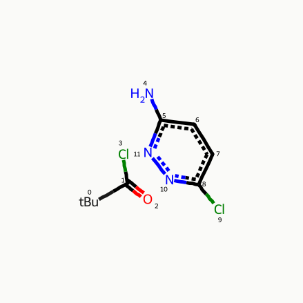 CC(C)(C)C(=O)Cl.Nc1ccc(Cl)nn1